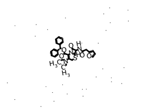 CCN(CC)C1=C(C(=O)OC(c2ccccc2)c2ccccc2)N2C(=O)C(NC(=O)Cc3ccco3)[C@H]2SC1